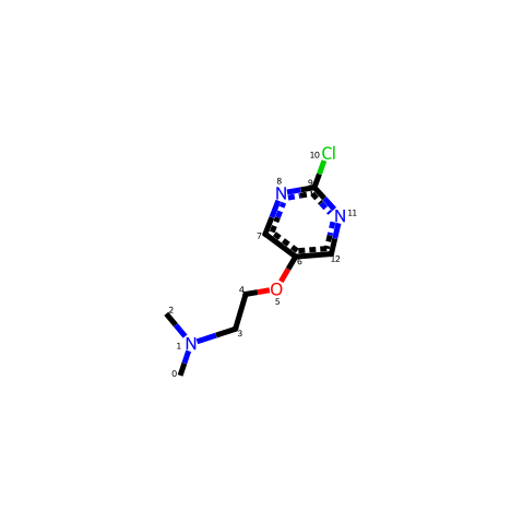 CN(C)CCOc1cnc(Cl)nc1